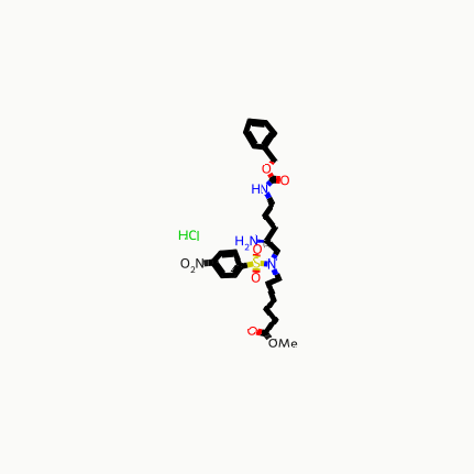 COC(=O)CCCCCN(C[C@@H](N)CCCNC(=O)OCc1ccccc1)S(=O)(=O)c1ccc([N+](=O)[O-])cc1.Cl